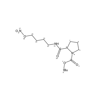 CC(C)(C)OC(=O)N1CCCC1C(=O)NCCCCO[N+](=O)[O-]